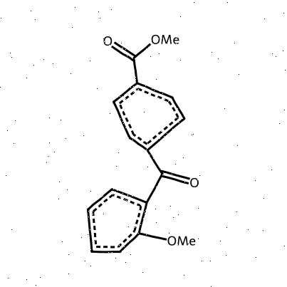 COC(=O)c1ccc(C(=O)c2ccccc2OC)cc1